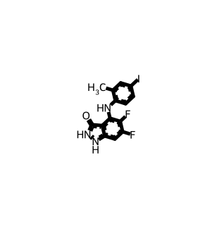 Cc1cc(I)ccc1Nc1c(F)c(F)cc2[nH][nH]c(=O)c12